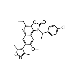 CCc1nc2cc(-c3c(C)noc3C)c(OC)cc2c2c1oc(=O)n2[C@H](C)c1ccc(Cl)cc1